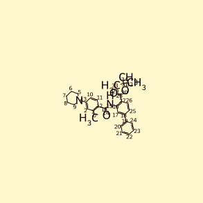 Cc1cc(N2CCCCC2)ccc1C(=O)Nc1cc(-c2ccccc2)ccc1C(=O)OC(C)(C)C